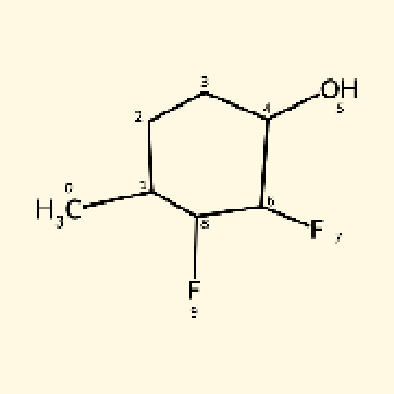 CC1CCC(O)C(F)C1F